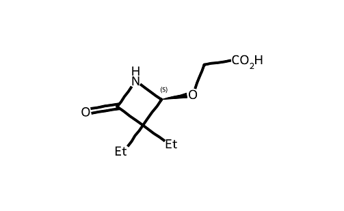 CCC1(CC)C(=O)N[C@H]1OCC(=O)O